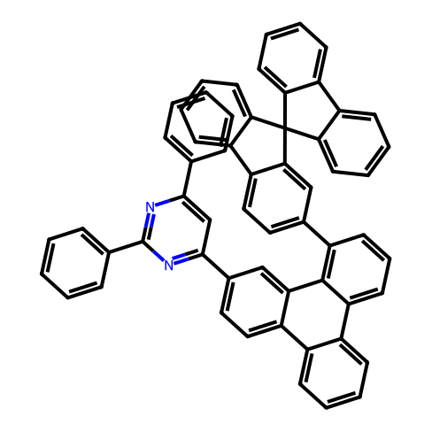 c1ccc(-c2cc(-c3ccc4c5ccccc5c5cccc(-c6ccc7c(c6)C6(c8ccccc8-c8ccccc86)c6ccccc6-7)c5c4c3)nc(-c3ccccc3)n2)cc1